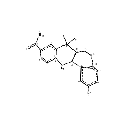 CC1(C)c2cc(C(N)=O)ccc2NC2c3cc(Br)ccc3SCC21